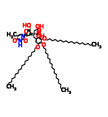 CCCCCCCCCCCCCCCCCCOc1cc(CC(CC(=O)O)(C(=O)O)[C@@H]2C[C@H](n3cc(C)c(=O)[nH]c3=O)O[C@@H]2CO)cc(OCCCCCCCCCCCCCCCCCC)c1OCCCCCCCCCCCCCCCCCC